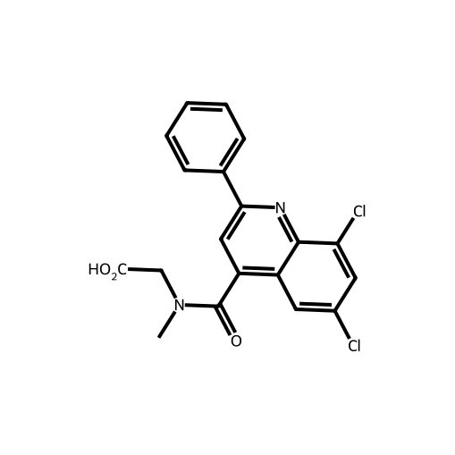 CN(CC(=O)O)C(=O)c1cc(-c2ccccc2)nc2c(Cl)cc(Cl)cc12